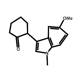 COc1ccc2c(c1)c(C1CCCCC1=O)cn2C